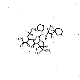 CC(F)(F)CC(NC(=O)[C@@H]1[C@@H]2[C@H](CN1C(=O)[C@@H](NC(=O)NC1(C)CCCCC1)C1CCCCC1)C2(C)C)C(=O)C(N)=O